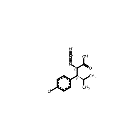 CC(C)[C@H](c1ccc(Cl)cc1)[C@@H](N=[N+]=[N-])C(=O)O